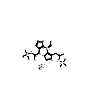 C[CH]=[Zr]([C]1=C(CC(C)O[Si](C)(C)C)C=CC1)[C]1=C(CC(C)O[Si](C)(C)C)C=CC1.Cl.Cl